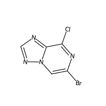 Clc1nc(Br)cn2ncnc12